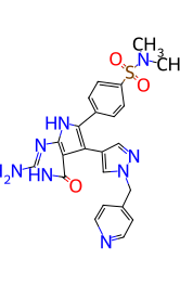 CN(C)S(=O)(=O)c1ccc(-c2[nH]c3nc(N)[nH]c(=O)c3c2-c2cnn(Cc3ccncc3)c2)cc1